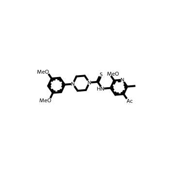 COc1cc(OC)cc(N2CCN(C(=S)Nc3cc(C(C)=O)c(C)nc3OC)CC2)c1